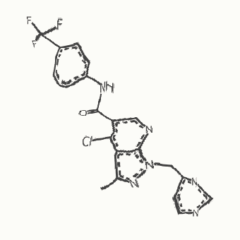 Cc1nn(Cc2ccncn2)c2ncc(C(=O)Nc3ccc(C(F)(F)F)cc3)c(Cl)c12